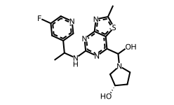 Cc1nc2nc(NC(C)c3cncc(F)c3)nc(C(O)N3CC[C@H](O)C3)c2s1